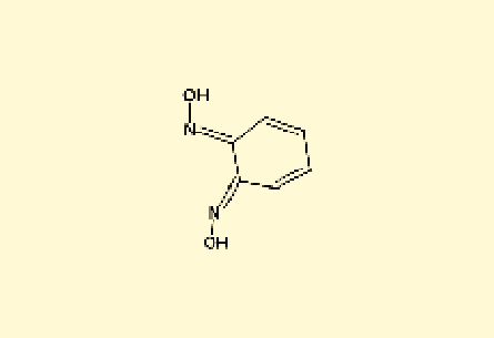 ON=C1C=CC=CC1=NO